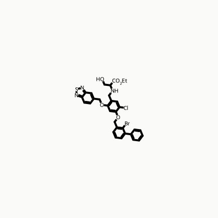 CCOC(=O)C(CO)NCc1cc(Cl)c(OCc2cccc(-c3ccccc3)c2Br)cc1OCc1ccc2nsnc2c1